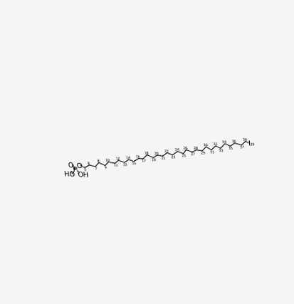 O=P(O)(O)OCCCCCCCCCCCCCCCCCCCCCCCCCCCCCCCCCCI